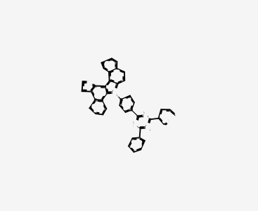 c1ccc(-c2nc(-c3ccccc3)nc(-c3ccc(-n4c5ccc6ccccc6c5c5c6sccc6c6ccccc6c54)cc3)n2)cc1